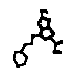 COC(=O)c1cc(OCCN2CCOCC2)c2nc(N)sc2c1